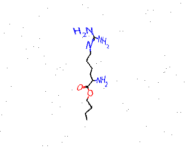 CCCCOC(=O)C(N)CCCCN=C(N)N